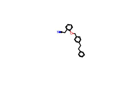 N#CCc1ccccc1OCc1ccc(CCc2ccccc2)cc1